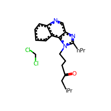 CCCc1nc2cnc3ccccc3c2n1CCCC(=O)CC(C)C.ClCCl